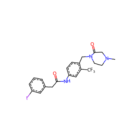 CN1CCN(Cc2ccc(NC(=O)Cc3cccc(I)c3)cc2C(F)(F)F)C(=O)C1